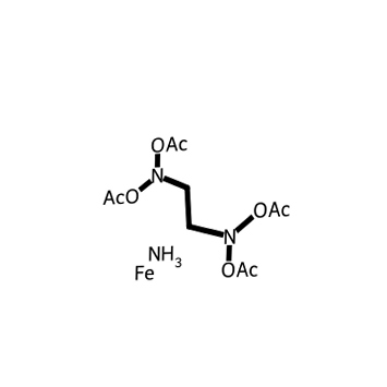 CC(=O)ON(CCN(OC(C)=O)OC(C)=O)OC(C)=O.N.[Fe]